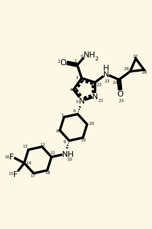 NC(=O)c1cn([C@H]2CC[C@@H](NC3CCC(F)(F)CC3)CC2)nc1NC(=O)C1CC1